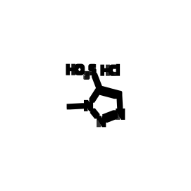 Cl.Cn1nncc1S(=O)(=O)O